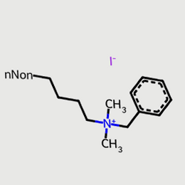 CCCCCCCCCCCCC[N+](C)(C)Cc1ccccc1.[I-]